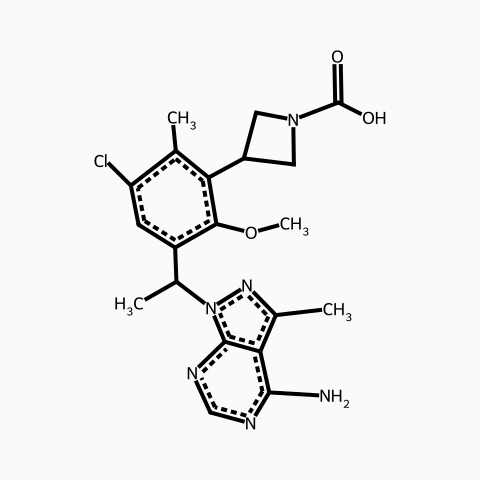 COc1c(C(C)n2nc(C)c3c(N)ncnc32)cc(Cl)c(C)c1C1CN(C(=O)O)C1